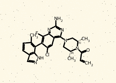 C=CC(=O)N1[C@H](C)CN(c2nc(N)nc3c(F)c(-c4c(C)ccc5cn[nH]c45)c(Cl)cc23)C[C@@H]1C